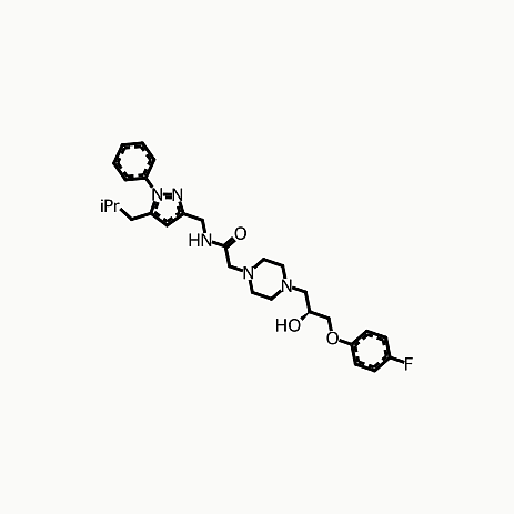 CC(C)Cc1cc(CNC(=O)CN2CCN(C[C@H](O)COc3ccc(F)cc3)CC2)nn1-c1ccccc1